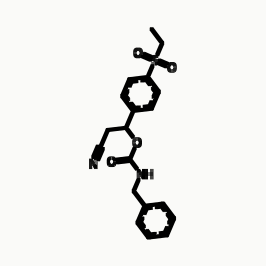 CCS(=O)(=O)c1ccc(C(CC#N)OC(=O)NCc2ccccc2)cc1